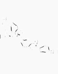 Cc1ccc2sc(-c3ccc4sc(-c5ccc(N)cc5)nc4c3)nc2c1S(=O)(=O)O